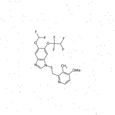 COc1ccnc(CSn2cnc3cc(OC(F)F)c(OC(F)(F)C(F)F)cc32)c1C